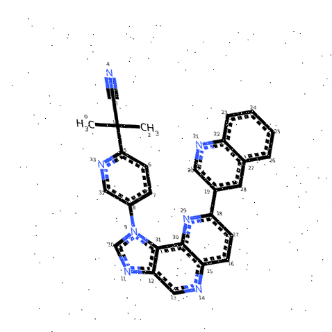 CC(C)(C#N)c1ccc(-n2cnc3cnc4ccc(-c5cnc6ccccc6c5)nc4c32)cn1